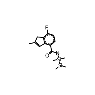 CC1=Cc2c(C(=O)[N][Si](C)(C)[Si](C)C)ccc(F)c2C1